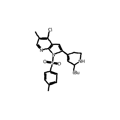 Cc1ccc(S(=O)(=O)n2c(C3=CC(C(C)(C)C)NCC3)cc3c(Cl)c(C)cnc32)cc1